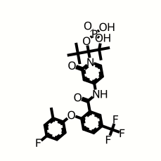 Cc1cc(F)ccc1Oc1ccc(C(F)(F)F)cc1C(=O)Nc1ccn(C(OP(=O)(O)O)(C(C)(C)C)C(C)(C)C)c(=O)c1